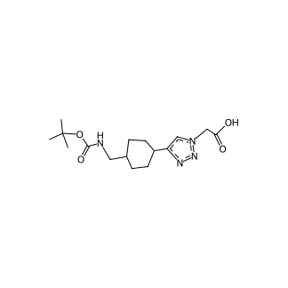 CC(C)(C)OC(=O)NCC1CCC(c2cn(CC(=O)O)nn2)CC1